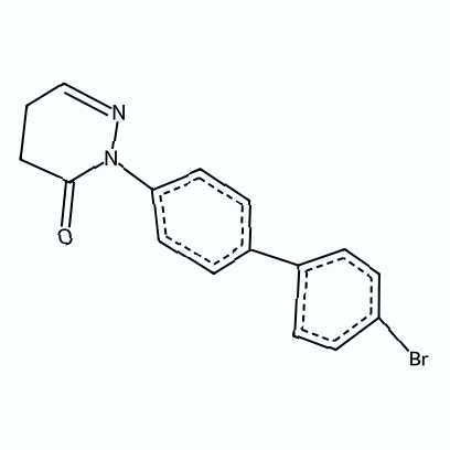 O=C1CCC=NN1c1ccc(-c2ccc(Br)cc2)cc1